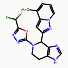 COc1cccn2nc(C3c4nc[nH]c4CCN3c3nnc(C(F)F)o3)cc12